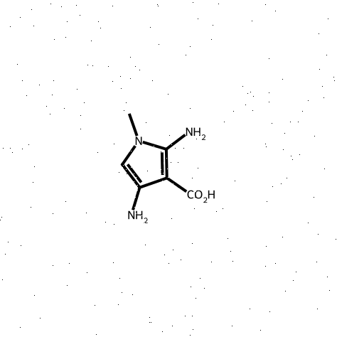 Cn1cc(N)c(C(=O)O)c1N